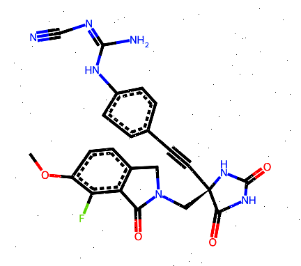 COc1ccc2c(c1F)C(=O)N(C[C@@]1(C#Cc3ccc(N/C(N)=N\C#N)cc3)NC(=O)NC1=O)C2